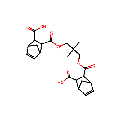 CC(C)(COC(=O)C1C2C=CC(C2)C1C(=O)O)COC(=O)C1C2C=CC(C2)C1C(=O)O